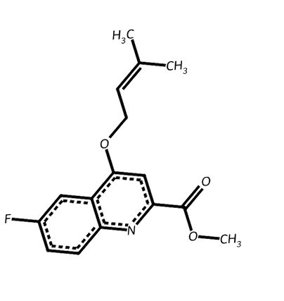 COC(=O)c1cc(OCC=C(C)C)c2cc(F)ccc2n1